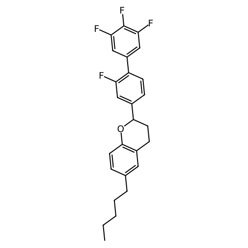 CCCCCc1ccc2c(c1)CCC(c1ccc(-c3cc(F)c(F)c(F)c3)c(F)c1)O2